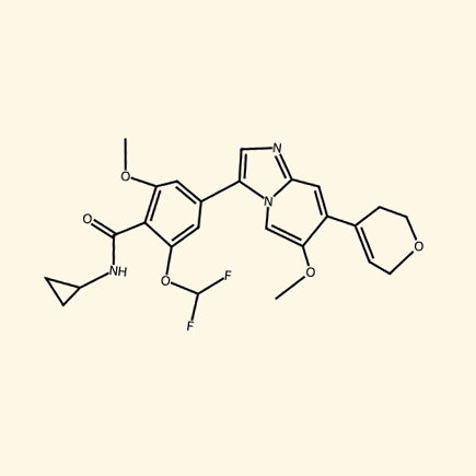 COc1cn2c(-c3cc(OC)c(C(=O)NC4CC4)c(OC(F)F)c3)cnc2cc1C1=CCOCC1